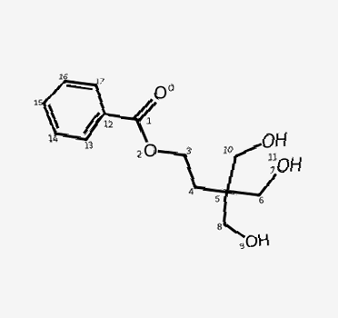 O=C(OCCC(CO)(CO)CO)c1ccccc1